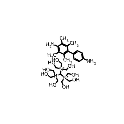 Cc1c(C)c(-c2ccc(N)cc2)c(C)c(C)c1N.OC[N+](CO)(CO)C([N+](CO)(CO)CO)[N+](CO)(CO)CO